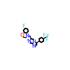 Fc1ccc2c(c1)OCCN2Cc1cn2c(-c3ccc(C(F)(F)F)cc3)cnc2cn1